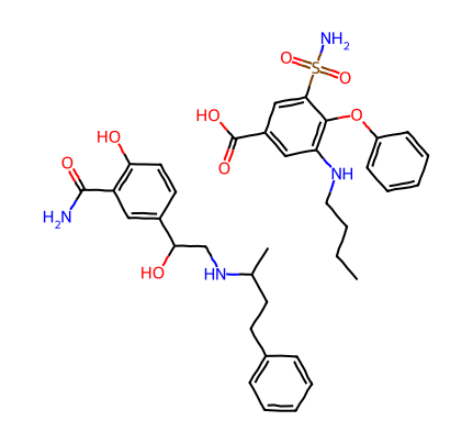 CC(CCc1ccccc1)NCC(O)c1ccc(O)c(C(N)=O)c1.CCCCNc1cc(C(=O)O)cc(S(N)(=O)=O)c1Oc1ccccc1